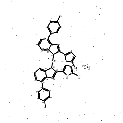 CCc1ccc(C2=Cc3c(-c4ccc(C)cc4)cccc3[CH]2[Zr+2][CH]2C(c3ccc(CC)o3)=Cc3c(-c4ccc(C)cc4)cccc32)o1.[Cl-].[Cl-]